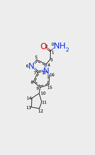 NC(=O)Cc1cnc2cc(C3CCCC3)ccn12